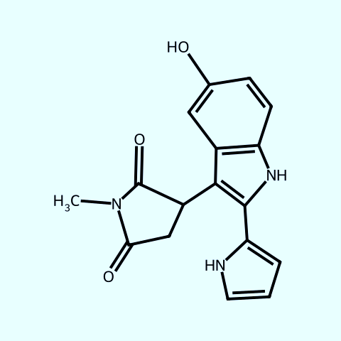 CN1C(=O)CC(c2c(-c3ccc[nH]3)[nH]c3ccc(O)cc23)C1=O